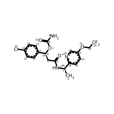 C[C@@H](NC(=O)C[C@H](OC(N)=O)c1ccc(Cl)cc1)c1ccc(OCC(F)(F)F)cn1